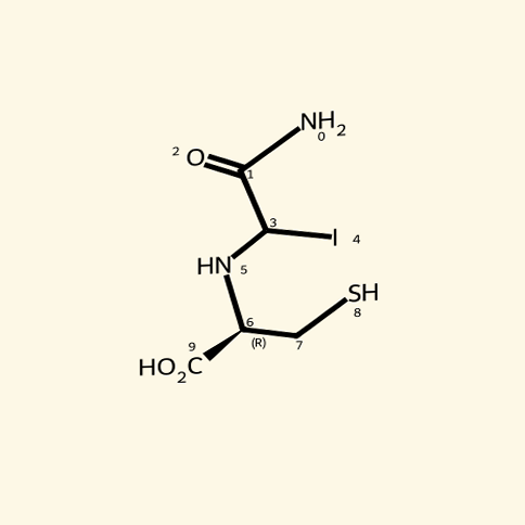 NC(=O)C(I)N[C@@H](CS)C(=O)O